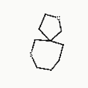 C1CCC2(CCOC2)CSC1